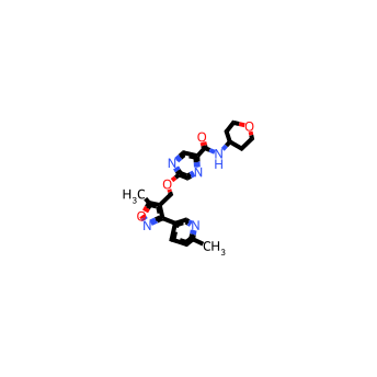 Cc1ccc(-c2noc(C)c2COc2cnc(C(=O)NC3CCOCC3)cn2)cn1